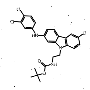 CC(C)(C)OC(=O)NCCn1c2ccc(Cl)cc2c2ccc(Nc3ccc(Cl)c(Cl)c3)cc21